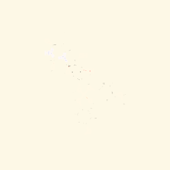 COc1ccc(OP(=O)(OC[C@@]2(C(F)F)O[C@@H](n3cc(Cl)c(=O)[nH]c3=O)[C@H](O)[C@H]2O)Oc2ccc(OC)cc2)cc1